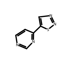 c1cc(-c2cnns2)ncn1